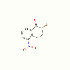 O=C1c2cccc([N+](=O)[O-])c2CC[C@@H]1Br